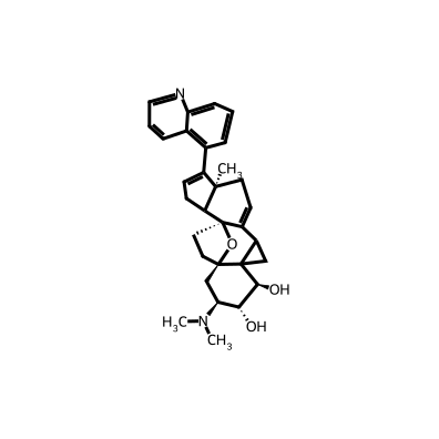 CN(C)[C@H]1C[C@@]23CC[C@@]4(O2)C(=CC[C@]2(C)C(c5cccc6ncccc56)=CCC24)C2CC23[C@@H](O)[C@@H]1O